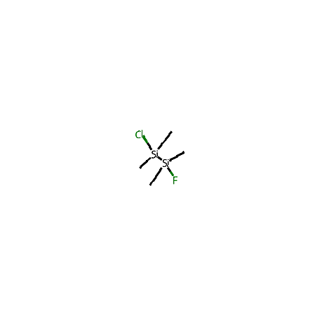 C[Si](C)(F)[Si](C)(C)Cl